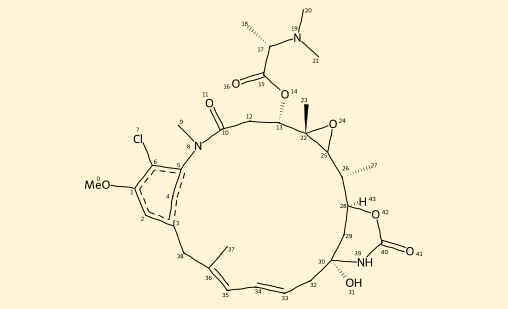 COc1cc2cc(c1Cl)N(C)C(=O)C[C@H](OC(=O)[C@H](C)N(C)C)[C@]1(C)OC1[C@H](C)[C@@H]1C[C@](O)(C/C=C/C=C(\C)C2)NC(=O)O1